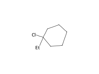 [CH2]CC1(Cl)CCCCC1